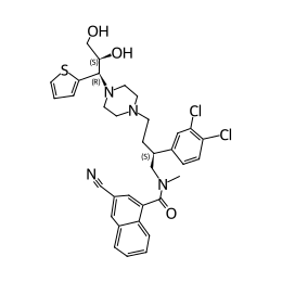 CN(C[C@@H](CCN1CCN([C@@H](c2cccs2)[C@H](O)CO)CC1)c1ccc(Cl)c(Cl)c1)C(=O)c1cc(C#N)cc2ccccc12